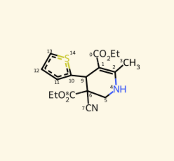 CCOC(=O)C1=C(C)NCC(C#N)(C(=O)OCC)C1c1cccs1